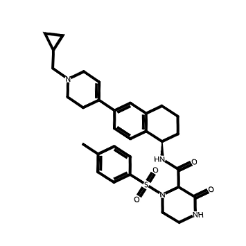 Cc1ccc(S(=O)(=O)N2CCNC(=O)C2C(=O)N[C@@H]2CCCc3cc(C4=CCN(CC5CC5)CC4)ccc32)cc1